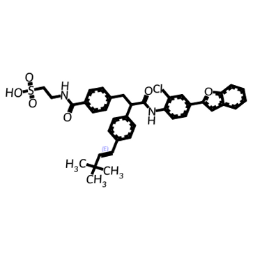 CC(C)(C)/C=C/c1ccc(C(Cc2ccc(C(=O)NCCS(=O)(=O)O)cc2)C(=O)Nc2ccc(-c3cc4ccccc4o3)cc2Cl)cc1